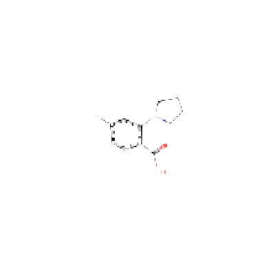 O=C(O)c1ccc(Cl)cc1N1CCCC1